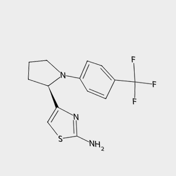 Nc1nc([C@H]2CCCN2c2ccc(C(F)(F)F)cc2)cs1